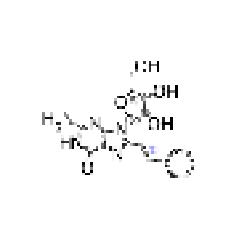 Nc1nc2c(nc(/C=C/c3ccccc3)n2[C@@H]2O[C@H](CO)[C@@H](O)[C@H]2O)c(=O)[nH]1